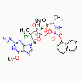 CCOc1nc(N)nc2c1ncn2[C@H]1O[C@](F)(COP(=O)(NC(C)C(=O)OCC(C)C)Oc2cccc3ccccc23)[C@@H](O)C1(C)F